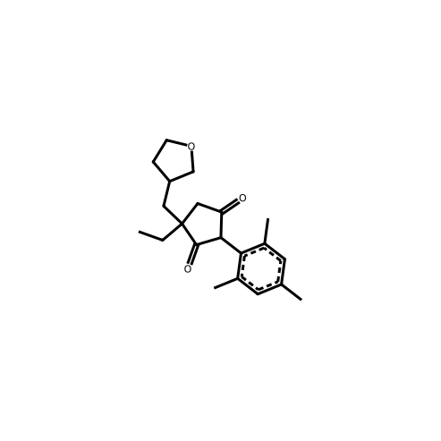 CCC1(CC2CCOC2)CC(=O)C(c2c(C)cc(C)cc2C)C1=O